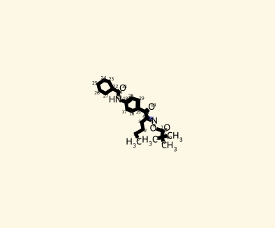 CCCC/C(=N\OC(=O)C(C)(C)C)C(=O)c1ccc(NC(=O)C2CCCCC2)cc1